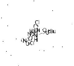 CC(C)(C)OC(=O)CCC[C@H](Nc1ncnc2cc(C(=O)N3CCCC3)c(Cl)cc12)c1nc2cc(Cl)ccc2[nH]1